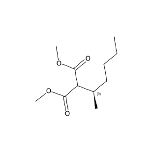 CCCC[C@@H](C)C(C(=O)OC)C(=O)OC